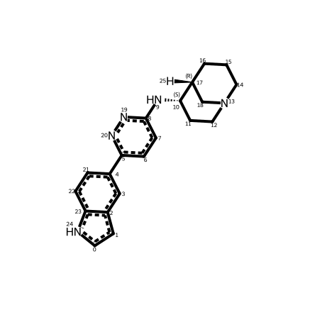 c1cc2cc(-c3ccc(N[C@H]4CCN5CCC[C@@H]4C5)nn3)ccc2[nH]1